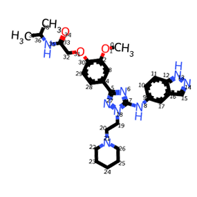 COc1cc(-c2nc(Nc3ccc4[nH]ncc4c3)n(CCN3CCCCC3)n2)ccc1OCC(=O)NC(C)C